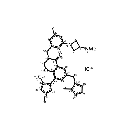 CNC1CN(c2cc(C)cc(C[C@@H]3COc4c(cc(Cn5ccnc5C)cc4-c4cn(C)nc4C(F)(F)F)C3=O)n2)C1.Cl